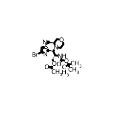 CC(=O)OC[C@@H](NC(=O)OC(C)(C)C)[C@@H](c1nc(Br)cs1)N1CCOC[C@@H]1C#N